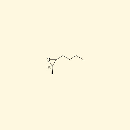 CCCCC1O[C@@H]1C